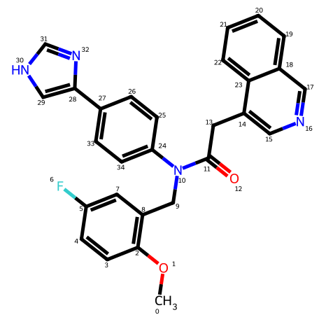 COc1ccc(F)cc1CN(C(=O)Cc1cncc2ccccc12)c1ccc(-c2c[nH]cn2)cc1